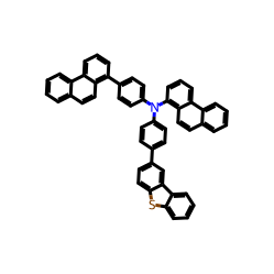 c1ccc2c(c1)ccc1c(-c3ccc(N(c4ccc(-c5ccc6sc7ccccc7c6c5)cc4)c4cccc5c4ccc4ccccc45)cc3)cccc12